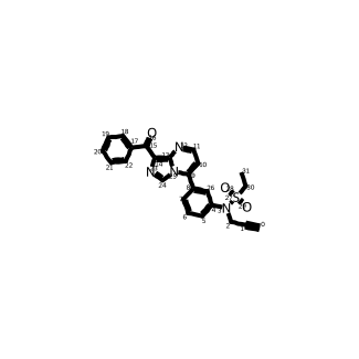 C#CCN(c1cccc(-c2ccnc3c(C(=O)c4ccccc4)ncn23)c1)S(=O)(=O)CC